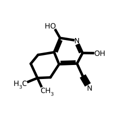 CC1(C)CCc2c(O)nc(O)c(C#N)c2C1